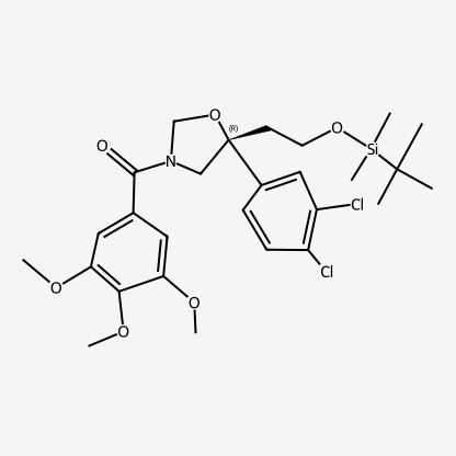 COc1cc(C(=O)N2CO[C@](CCO[Si](C)(C)C(C)(C)C)(c3ccc(Cl)c(Cl)c3)C2)cc(OC)c1OC